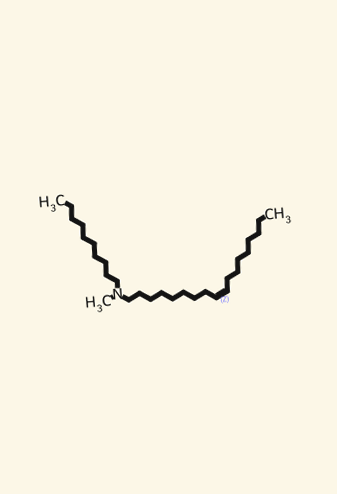 CCCCCCCC/C=C\CCCCCCCCN(C)CCCCCCCCCC